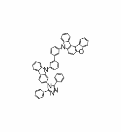 c1ccc(-c2nnc(-c3ccccc3)n2-c2ccc3c4ccccc4n(-c4cccc(-c5cccc(-n6c7ccccc7c7c8c(ccc76)oc6ccccc68)c5)c4)c3c2)cc1